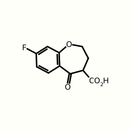 O=C(O)C1CCOc2cc(F)ccc2C1=O